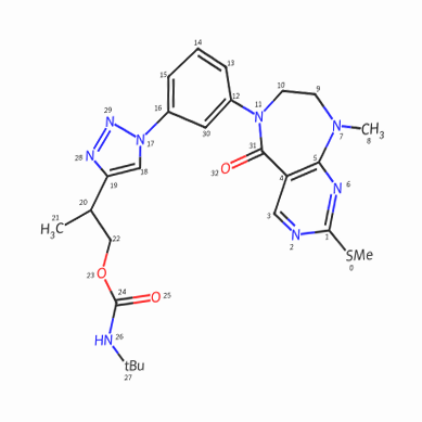 CSc1ncc2c(n1)N(C)CCN(c1cccc(-n3cc(C(C)COC(=O)NC(C)(C)C)nn3)c1)C2=O